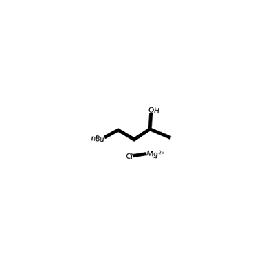 CCCCCCC(C)O.[Mg+2][Cl]